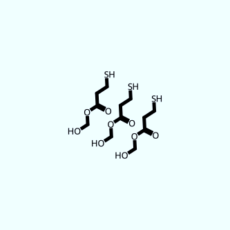 O=C(CCS)OCO.O=C(CCS)OCO.O=C(CCS)OCO